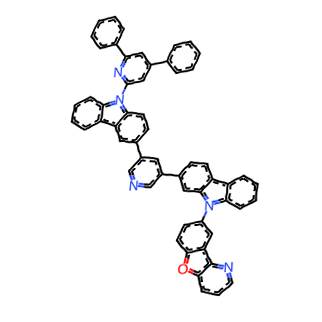 c1ccc(-c2cc(-c3ccccc3)nc(-n3c4ccccc4c4cc(-c5cncc(-c6ccc7c8ccccc8n(-c8ccc9oc%10cccnc%10c9c8)c7c6)c5)ccc43)c2)cc1